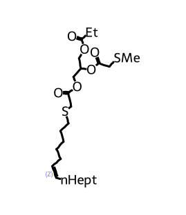 CCCCCCC/C=C\CCCCCSCC(=O)OCC(COC(=O)CC)OC(=O)CSC